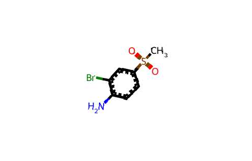 CS(=O)(=O)c1ccc(N)c(Br)c1